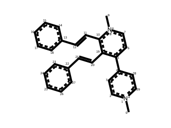 C[n+]1ccc(-c2cc[n+](C)c(C=Cc3ccccc3)c2C=Cc2ccccc2)cc1